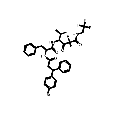 CC(C)C(NC(=O)C(Cc1ccccc1)NC(=O)CC(c1ccccc1)c1ccc(Br)cc1)C(=O)C(F)(F)C(=O)NCC(F)(F)F